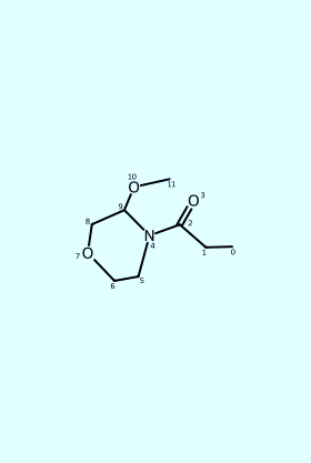 CCC(=O)N1CCOCC1OC